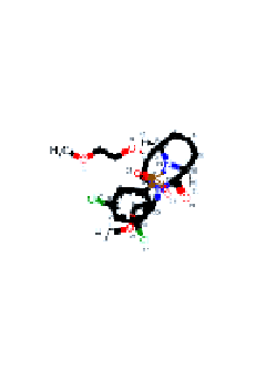 COCCO[C@H]1CN(CCOC)C(=O)[C@@H]2CCC[C@H]1N2S(=O)(=O)c1cc(Cl)cc(Cl)c1